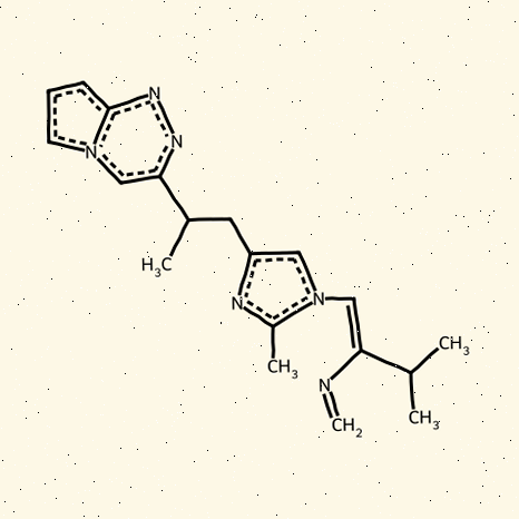 C=N/C(=C\n1cc(CC(C)c2cn3cccc3nn2)nc1C)C(C)C